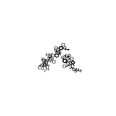 C#CCOc1cc(-n2nc3n(c2=O)CCCC3)c(Cl)cc1Cl.CC1COc2ccccc2N1C(=O)C(Cl)Cl.CCNc1nc(Cl)nc(NC(C)C)n1.CCc1cccc(C)c1N(C(=O)CCl)C(C)COC.C[S+](C)C.O=C(O)CNCP(=O)([O-])O